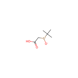 CC(C)(C)[S+]([O-])CC(=O)O